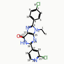 CCn1c(-c2ccc(Cl)cc2)nc2c(=O)[nH]c(-c3ccnc(Cl)c3)nc21